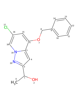 CC(O)c1cc2c(OCc3ccccc3)cc(Cl)cn2n1